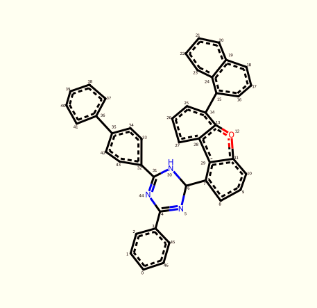 c1ccc(C2=NC(c3cccc4oc5c(-c6cccc7ccccc67)cccc5c34)NC(c3ccc(-c4ccccc4)cc3)=N2)cc1